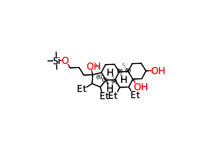 CCC1C(CC)C2(O)CC(O)CC[C@]2(C)[C@@H]2CC[C@@]3(C)[C@@H](C(CC)C(CC)C3(O)CCCO[Si](C)(C)C)[C@H]12